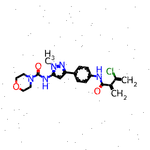 C=C(Cl)C(=C)C(=O)Nc1ccc(-c2cc(NC(=O)N3CCOCC3)n(C)n2)cc1